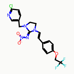 O=[N+]([O-])N=C1N(C=Cc2ccc(OCC(F)(F)F)cc2)CCN1Cc1ccc(Cl)nc1